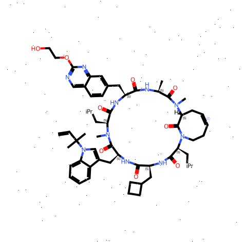 C=CC(C)(C)n1cc(C[C@@H]2NC(=O)[C@H](CC3CCC3)NC(=O)[C@H](CC(C)C)N3CC/C=C\C[C@@H](C3=O)N(C)C(=O)[C@H](C)NC(=O)[C@H](Cc3ccc4cnc(OCCO)nc4c3)NC(=O)[C@H](CC(C)C)N(C)C2=O)c2ccccc21